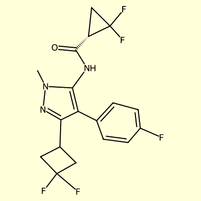 Cn1nc(C2CC(F)(F)C2)c(-c2ccc(F)cc2)c1NC(=O)[C@@H]1CC1(F)F